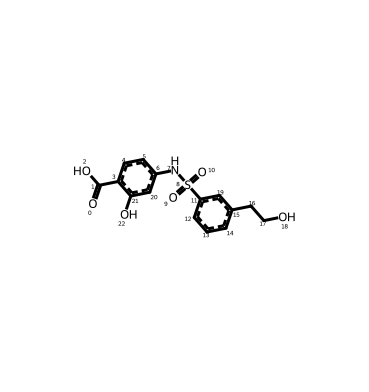 O=C(O)c1ccc(NS(=O)(=O)c2cccc(CCO)c2)cc1O